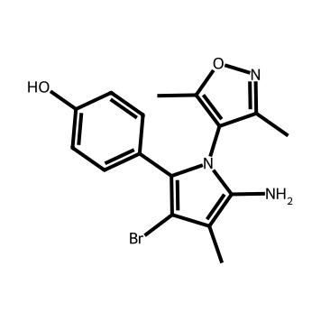 Cc1noc(C)c1-n1c(N)c(C)c(Br)c1-c1ccc(O)cc1